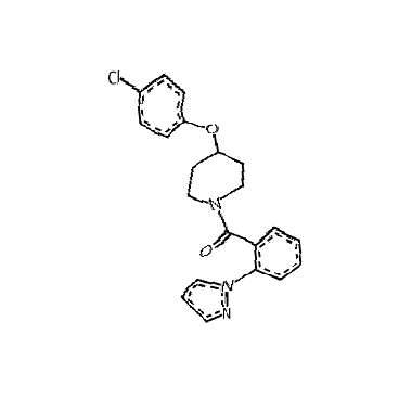 O=C(c1ccccc1-n1cccn1)N1CCC(Oc2ccc(Cl)cc2)CC1